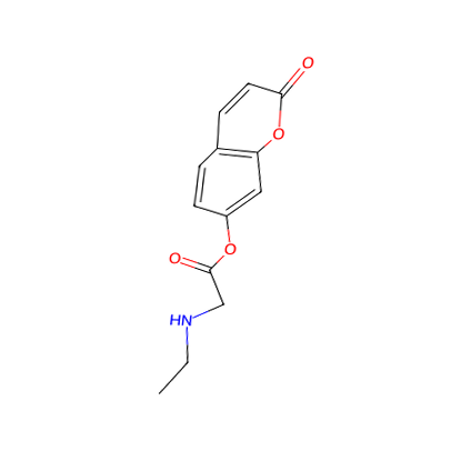 CCNCC(=O)Oc1ccc2ccc(=O)oc2c1